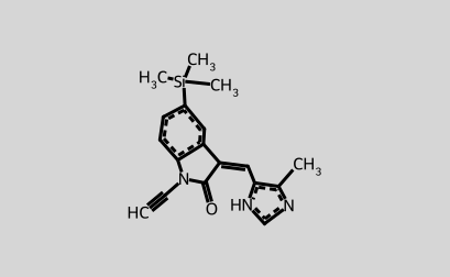 C#CN1C(=O)/C(=C\c2[nH]cnc2C)c2cc([Si](C)(C)C)ccc21